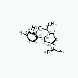 CC(C)N1CC[C@H](C(F)F)C[C@@H]1c1ccc(F)cc1